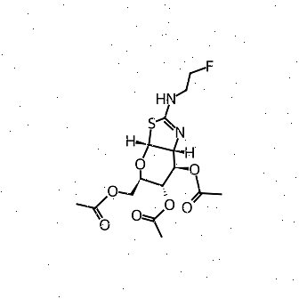 CC(=O)OC[C@H]1O[C@@H]2SC(NCCF)=N[C@@H]2[C@@H](OC(C)=O)[C@@H]1OC(C)=O